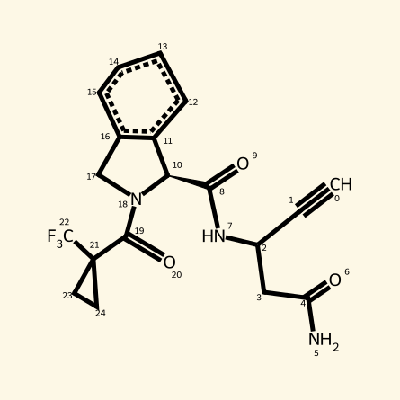 C#CC(CC(N)=O)NC(=O)[C@@H]1c2ccccc2CN1C(=O)C1(C(F)(F)F)CC1